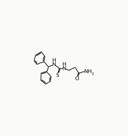 NC(=O)CCNC(=S)NC(c1ccccc1)c1ccccc1